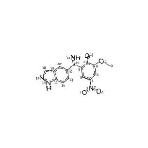 COc1cc([N+](=O)[O-])cc(C(=N)c2ccc3[nH]ncc3c2)c1O